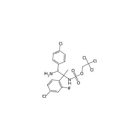 CC(NS(=O)(=O)OCC(Cl)(Cl)Cl)(c1ccc(Cl)cc1F)C(N)c1ccc(Cl)cc1